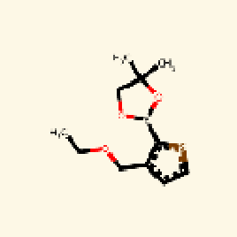 CCOCc1ccsc1B1OCC(C)(C)O1